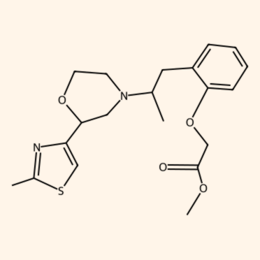 COC(=O)COc1ccccc1CC(C)N1CCOC(c2csc(C)n2)C1